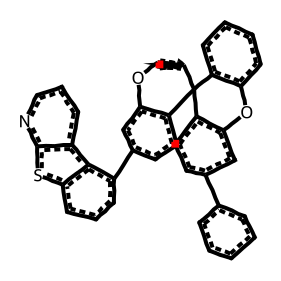 c1ccc(-c2ccc3c(c2)Oc2ccccc2C32c3ccccc3Oc3cc(-c4cccc5sc6ncccc6c45)ccc32)cc1